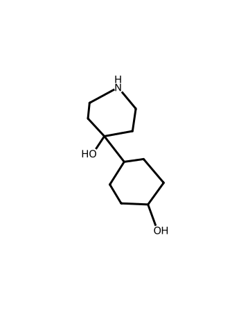 OC1CCC(C2(O)CCNCC2)CC1